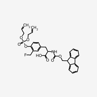 C=CCOP(=O)(OCC=C)Oc1ccc(CC(NC(=O)OCC2c3ccccc3-c3ccccc32)C(=O)O)cc1CF